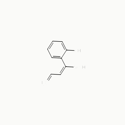 C=C/C=C(\c1ccccc1C)S(=O)(=O)O